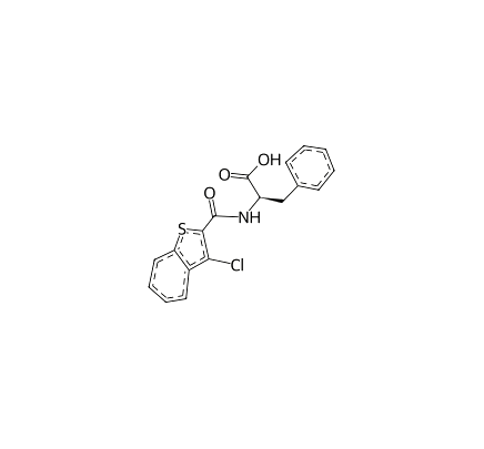 O=C(N[C@H](Cc1ccccc1)C(=O)O)c1sc2ccccc2c1Cl